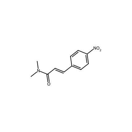 CN(C)C(=O)C=Cc1ccc([N+](=O)[O-])cc1